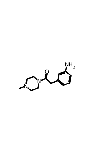 CN1CCN(C(=O)Cc2cccc(N)c2)CC1